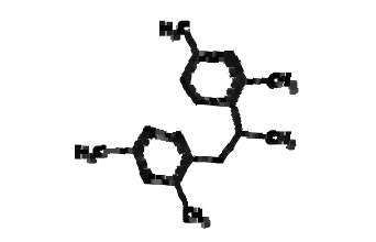 Cc1ccc(CC(C)c2ccc(C)cc2C)c(C)c1